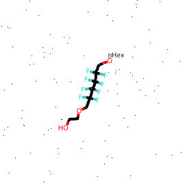 CCCCCCOCC(F)(F)C(F)(F)C(F)(F)C(F)(F)COCCO